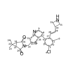 Cc1cc(Cl)cc(-c2ccnc3cc(CN4C(=O)C5C(C4=O)C5(C)C)sc23)c1/C=C/C1CNC1